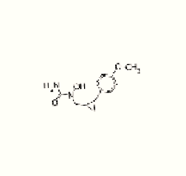 COc1ccc(C2CC2CN(O)C(N)=O)cc1